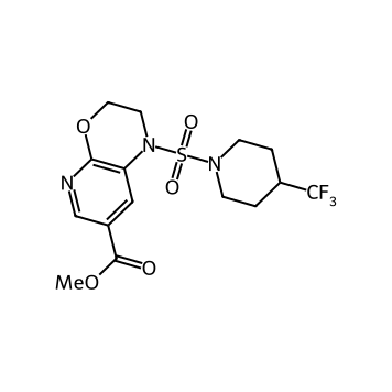 COC(=O)c1cnc2c(c1)N(S(=O)(=O)N1CCC(C(F)(F)F)CC1)CCO2